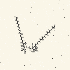 CCCCCCCCCCCCCCCCCC(=O)N[C@@H](CSSC[C@H](NC(=O)CCCCCCCCCCCCCCCCC)C(=O)OC)C(=O)OC